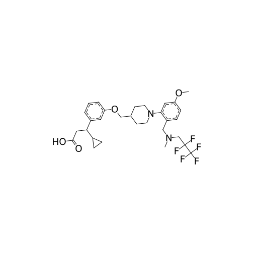 COc1ccc(CN(C)CC(F)(F)C(F)(F)F)c(N2CCC(COc3cccc(C(CC(=O)O)C4CC4)c3)CC2)c1